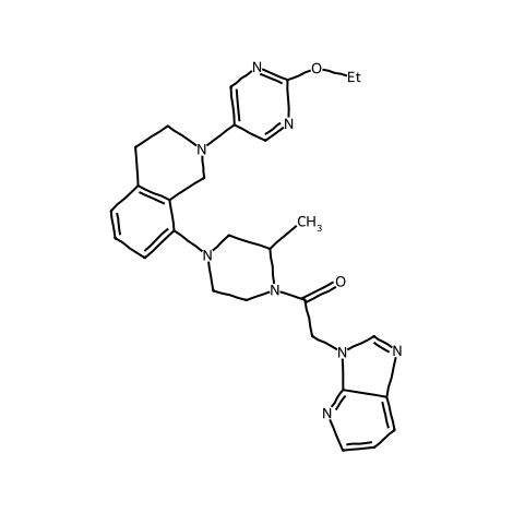 CCOc1ncc(N2CCc3cccc(N4CCN(C(=O)Cn5cnc6cccnc65)C(C)C4)c3C2)cn1